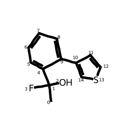 CC(O)(F)c1ccccc1-c1ccsc1